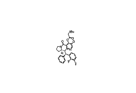 CC(C)(C)CC(=O)Oc1c2n(ncc1=O)[C@@H]([C@H](c1ccccc1)c1cccc(F)c1F)[C@H]1CCCN1C2=O